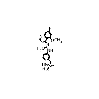 C=C(/N=C(\N=C/N)c1ccc(F)cc1OC)Nc1cccc(CS(C)(=N)=O)c1